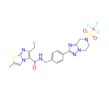 CCc1nc2sc(C)cn2c1C(=O)NCc1ccc(-c2nc3n(n2)CCN(S(=O)(=O)C(F)(F)F)C3)cc1